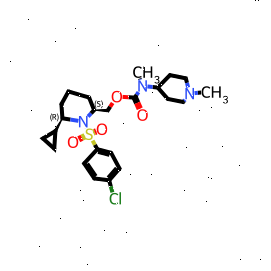 CN1CCC(N(C)C(=O)OC[C@@H]2CCC[C@H](C3CC3)N2S(=O)(=O)c2ccc(Cl)cc2)CC1